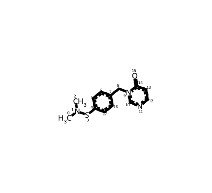 CN(C)Sc1ccc(Cn2cnccc2=O)cc1